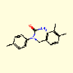 Cc1ccc(N(Cc2ccc(C)c(C)c2)C(N)=O)cc1